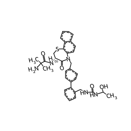 CC(O)NC(=O)NCc1ccccc1-c1ccc(CN2C(=O)[C@H](NC(=O)C(C)(C)N)CSc3c2ccc2ccccc32)cc1